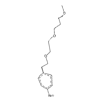 COCCCOCCOCCc1ccc([NH])cc1